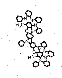 Cc1c2c3c4c5c1N(c1ccccc1)c1ccccc1B5c1ccccc1N4c1ccccc1B3c1cc3c4cc5c(cc4n(-c4ccccc4)c3cc1O2)Oc1c(C)c2c3c4c1B5c1ccccc1N4c1ccccc1B3c1ccccc1N2c1ccccc1